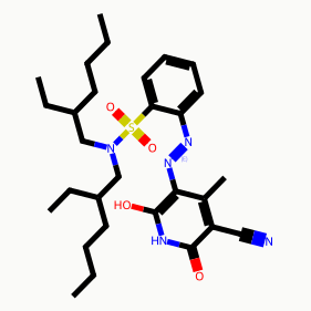 CCCCC(CC)CN(CC(CC)CCCC)S(=O)(=O)c1ccccc1/N=N/c1c(O)[nH]c(=O)c(C#N)c1C